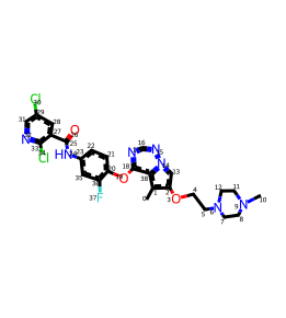 Cc1c(OCCN2CCN(C)CC2)cn2ncnc(Oc3ccc(NC(=O)c4cc(Cl)cnc4Cl)cc3F)c12